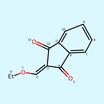 CCOC=C1C(=O)c2ccccc2C1=O